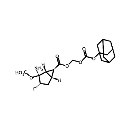 N[C@]1(OC(=O)O)[C@H]2[C@@H](C[C@@H]1F)[C@@H]2C(=O)OCOC(=O)OC12CC3CC(CC(C3)C1)C2